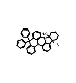 CC12CCCCC1(C)N1c3cccc4c3B(c3ccccc3C4(c3cc#ccc3)c3ccccc3)c3cccc2c31